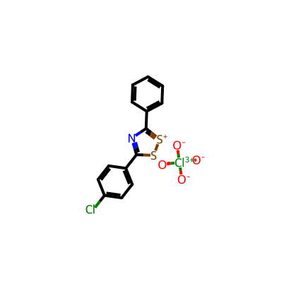 Clc1ccc(-c2nc(-c3ccccc3)[s+]s2)cc1.[O-][Cl+3]([O-])([O-])[O-]